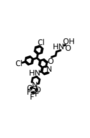 O=C(O)NCCCCOc1cc(C(c2ccc(Cl)cc2)c2ccc(Cl)cc2)cc2c(NC3CCN(S(=O)(=O)C(F)(F)F)CC3)ccnc12